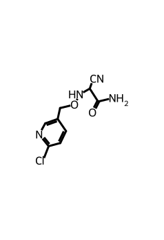 N#CC(NOCc1ccc(Cl)nc1)C(N)=O